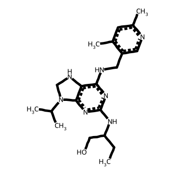 CCC(CO)Nc1nc(NCc2cnc(C)cc2C)c2c(n1)N(C(C)C)CN2